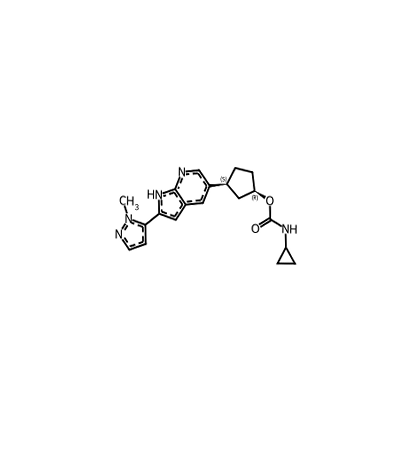 Cn1nccc1-c1cc2cc([C@H]3CC[C@@H](OC(=O)NC4CC4)C3)cnc2[nH]1